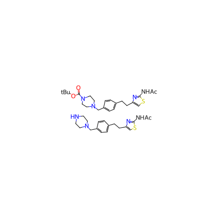 CC(=O)Nc1nc(CCc2ccc(CN3CCN(C(=O)OC(C)(C)C)CC3)cc2)cs1.CC(=O)Nc1nc(CCc2ccc(CN3CCNCC3)cc2)cs1